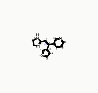 C(/C1=NCCN1)=C(\c1cccnc1)c1ccsc1